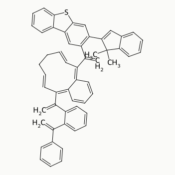 C=C(C1=c2\cccc\c2=C(C(=C)c2cc3c(cc2C2=Cc4ccccc4C2(C)C)sc2ccccc23)\C=C\CC\C=C\1)c1ccccc1C(=C)c1ccccc1